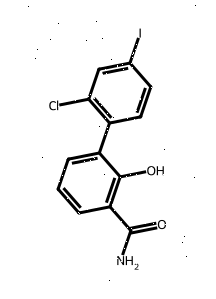 NC(=O)c1cccc(-c2ccc(I)cc2Cl)c1O